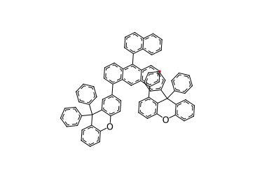 c1ccc(C2(c3ccccc3)c3ccccc3Oc3ccc(-c4cccc5c(-c6cccc7ccccc67)c6cccc(-c7cccc8c7C(c7ccccc7)(c7ccccc7)c7ccccc7O8)c6cc45)cc32)cc1